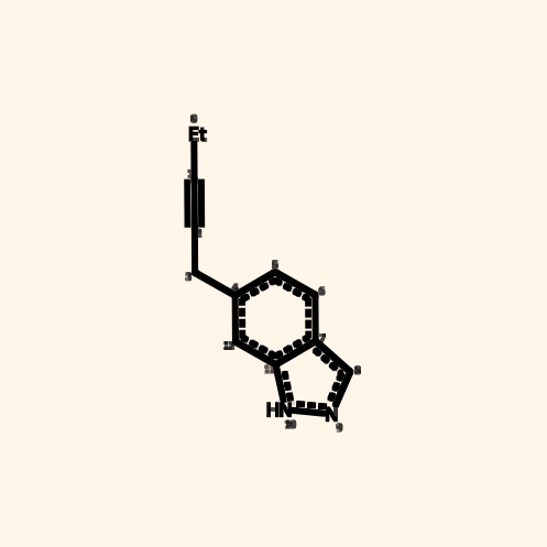 CCC#CCc1ccc2cn[nH]c2c1